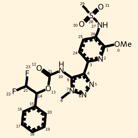 COc1nc(-c2nnn(C)c2NC(=O)OC(c2ccccc2)C(F)F)ccc1NS(C)(=O)=O